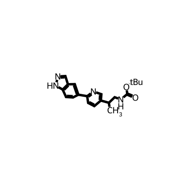 CC(CNC(=O)OC(C)(C)C)c1ccc(-c2ccc3[nH]ncc3c2)nc1